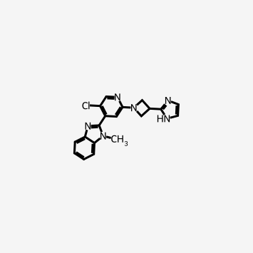 Cn1c(-c2cc(N3CC(c4ncc[nH]4)C3)ncc2Cl)nc2ccccc21